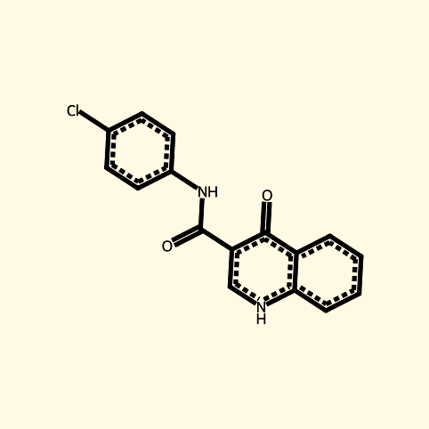 O=C(Nc1ccc(Cl)cc1)c1c[nH]c2ccccc2c1=O